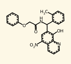 Cc1ccccc1C(NC(=O)COc1ccccc1)c1cc([N+](=O)[O-])c2cccnc2c1O